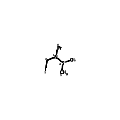 CC(C)N(CI)[S+](C)[O-]